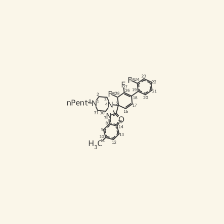 CCCCCN1CCN(C2(c3nc4cc(C)ccc4o3)C=CC(c3ccccc3F)=C(F)C2F)CC1